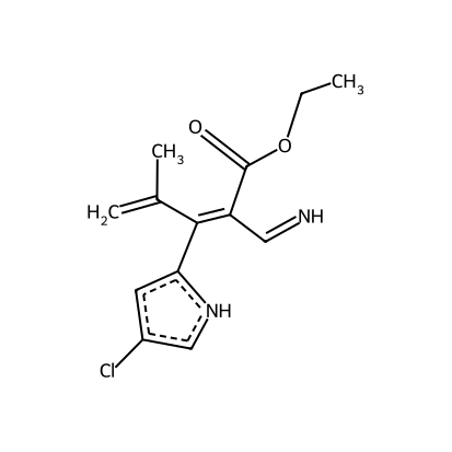 C=C(C)/C(=C(/C=N)C(=O)OCC)c1cc(Cl)c[nH]1